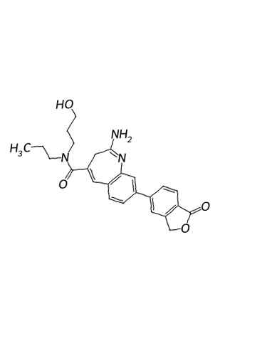 CCCN(CCCO)C(=O)C1=Cc2ccc(-c3ccc4c(c3)COC4=O)cc2N=C(N)C1